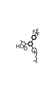 CC(C)CCCN1CCC(c2cc(-c3ccc(C(F)(F)F)cc3)cc(C(CC(C)C)C(=O)O)c2)CC1